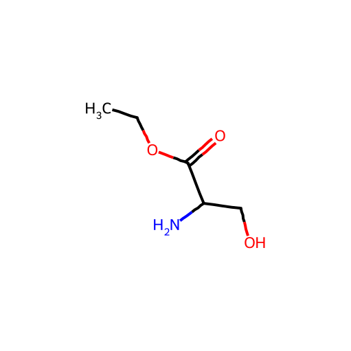 CCOC(=O)C(N)CO